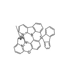 Cc1cc2n(n1)[N+]13c4c(ccc5c4B4c6c(cccc6[Si]56c5ccccc5-c5ccccc56)-c5ccc[n+]1c54)Oc1cccc-2[n+]13